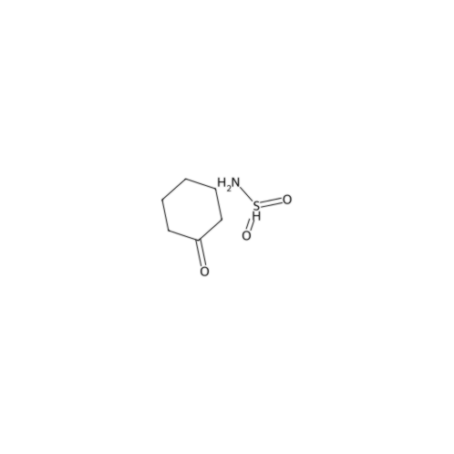 N[SH](=O)=O.O=C1CCCCC1